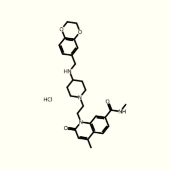 CNC(=O)c1ccc2c(C)cc(=O)n(CCN3CCC(NCc4ccc5c(c4)OCCO5)CC3)c2c1.Cl